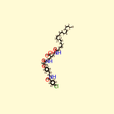 CC/C=C\C/C=C\C/C=C\C/C=C\C/C=C\C/C=C\CCC(=O)NCCC(CCNC(=O)C(C)(C)Oc1ccc(CCNC(=O)c2ccc(Cl)cc2)cc1)C(=O)O